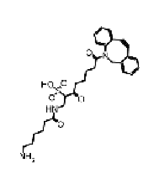 NCCCCCC(=O)NCC(C(=O)CCCCC(=O)N1Cc2ccccc2C#Cc2ccccc21)S(=O)(=O)O